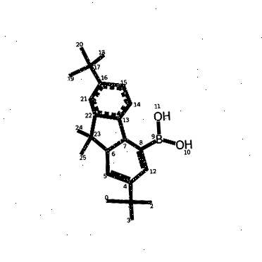 CC(C)(C)C1=CC2C(C(B(O)O)=C1)c1ccc(C(C)(C)C)cc1C2(C)C